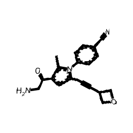 Cc1c(C(=O)CN)cc(C#CC2COC2)n1-c1ccc(C#N)cc1